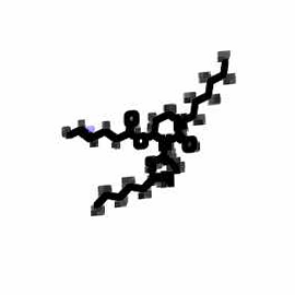 C/C=C/CCC(=O)OC1CCN(CCCCCC)C(=O)N1c1nnc(CCCCC)s1